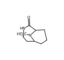 O=C1NCCC2CCCC1N2C(=O)O